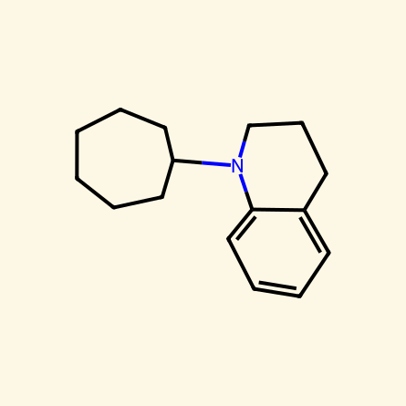 c1ccc2c(c1)CCCN2C1CCCCCC1